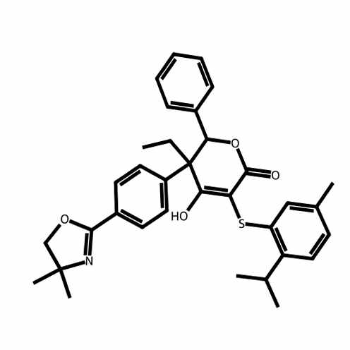 CCC1(c2ccc(C3=NC(C)(C)CO3)cc2)C(O)=C(Sc2cc(C)ccc2C(C)C)C(=O)OC1c1ccccc1